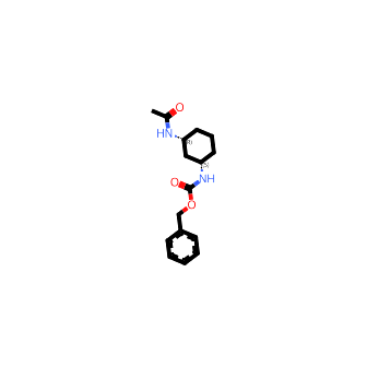 CC(=O)N[C@@H]1CCC[C@H](NC(=O)OCc2ccccc2)C1